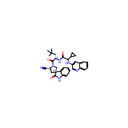 CC(C)(C)C[C@H](NC(=O)C(Nc1cnc2ccccc2c1)C1CC1)C(=O)N1C[C@]2(C[C@H]1C#N)C(=O)Nc1ccccc12